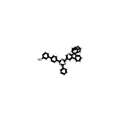 N#Cc1cccc(-c2ccc(-c3nc(-c4ccccc4)nc(-c4cnc5c(c4)-c4ccccc4C54C5CC6CC(C5)CC4C6)n3)cc2)c1